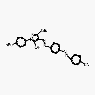 CCCCc1ccc(-n2nc(C(C)(C)C)c(N=Nc3ccc(N=Nc4ccc(C#N)cc4)cc3)c2O)cc1